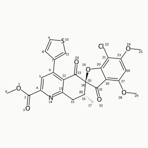 COC(=O)c1cc(-c2ccsc2)c2c(n1)C[C@@H](C)[C@]1(Oc3c(Cl)c(OC)cc(OC)c3C1=O)C2=O